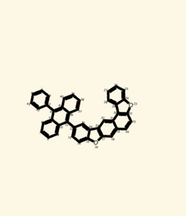 c1ccc(-c2c3ccccc3c(-c3ccc4oc5cc6ccc7oc8ccccc8c7c6cc5c4c3)c3ccccc23)cc1